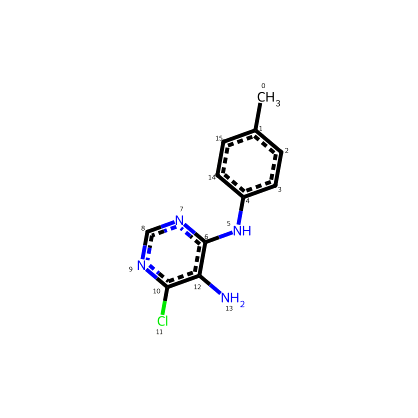 Cc1ccc(Nc2ncnc(Cl)c2N)cc1